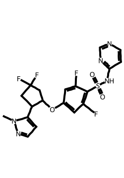 Cn1nccc1C1CC(F)(F)CC1Oc1cc(F)c(S(=O)(=O)Nc2ccncn2)c(F)c1